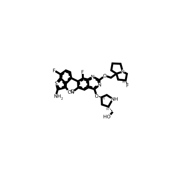 N#Cc1c(N)sc2c(F)ccc(-c3c(Cl)cc4c(O[C@@H]5CN[C@H](CO)C5)nc(OCC56CCCN5C[C@H](F)C6)nc4c3F)c12